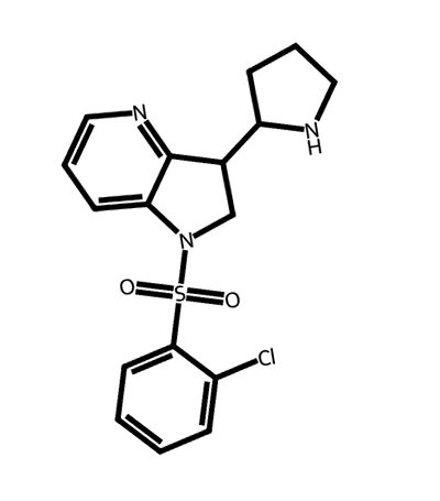 O=S(=O)(c1ccccc1Cl)N1CC(C2CCCN2)c2ncccc21